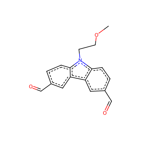 COCCn1c2ccc(C=O)cc2c2cc(C=O)ccc21